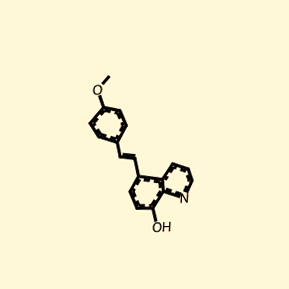 COc1ccc(/C=C/c2ccc(O)c3ncccc23)cc1